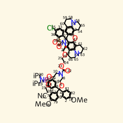 COc1ccc(C(OCCN(CCOP(OCCC#N)N(C(C)C)C(C)C)C(=O)OCCOCCN2C3(c4ccc(Cl)cc4S2(=O)=O)c2cc4c5c(c2Oc2c3cc3c6c2CCCN6CCC3)CCCN5CCC4)(c2ccccc2)c2ccc(OC)cc2)cc1